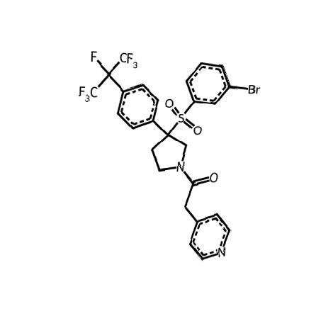 O=C(Cc1ccncc1)N1CCC(c2ccc(C(F)(C(F)(F)F)C(F)(F)F)cc2)(S(=O)(=O)c2cccc(Br)c2)C1